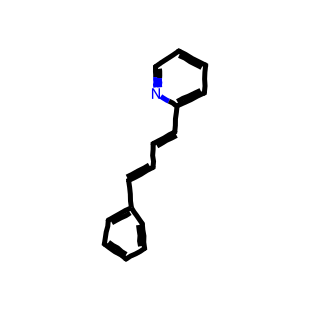 C(C=Cc1ccccn1)=Cc1ccccc1